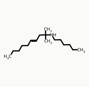 CCCCCC=CCC(C)(C)NCCCCCC